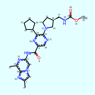 Cc1cn2cc(NC(=O)c3cnc(N4CC[C@@H](CNC(=O)OC(C)(C)C)C4)c(C4CCCC4)n3)nc(C)c2n1